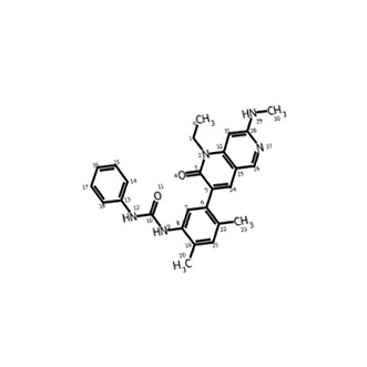 CCn1c(=O)c(-c2cc(NC(=O)Nc3ccccc3)c(C)cc2C)cc2cnc(NC)cc21